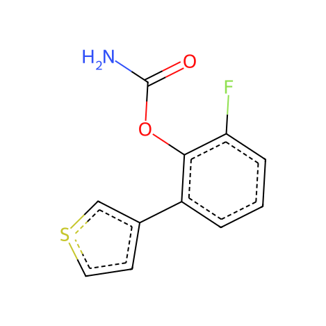 NC(=O)Oc1c(F)cccc1-c1ccsc1